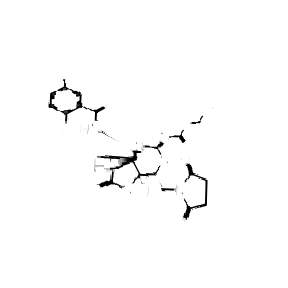 C=C1N[C@H]2[C@H](CN3C(=O)CCC3=O)N/C(=N\C(=O)OCC(Cl)(Cl)Cl)N3C[C@H](NC(=O)c4cc(F)ccc4F)C(O)(O)[C@]23N1